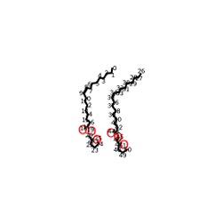 CCCCCCCC/C=C\CCCCCCCC(=O)OCC1CCCO1.CCCCCCCC/C=C\CCCCCCCC(=O)OCC1CCCO1